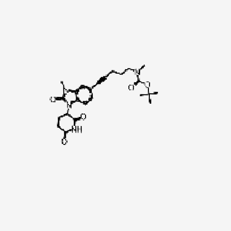 CN(CCCC#Cc1ccc2c(c1)n(C)c(=O)n2C1CCC(=O)NC1=O)C(=O)OC(C)(C)C